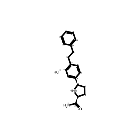 Cl.NC(=O)[C@@H]1CC[C@H](c2ccc(CCc3ccccc3)cc2)N1